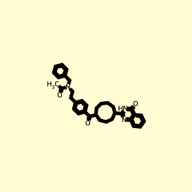 CC(=O)N(CCc1ccc(C(=O)C2CCCCC(c3nc4ccccc4c(=O)[nH]3)CCC2)cc1)Cc1ccccc1